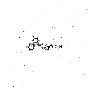 Cc1ccc(NC(=O)Nc2ncc(CC(=O)O)s2)c(N2CCCCC2)c1